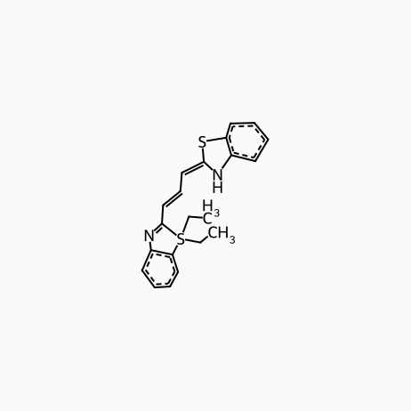 CCS1(CC)C(C=CC=C2Nc3ccccc3S2)=Nc2ccccc21